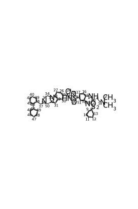 CN(C)CC[C@H](CSc1ccccc1)Nc1ccc(S(=O)(=O)NC(=O)c2ccc3c(c2)cc2n3CCN(Cc3ccccc3-c3ccccc3)C2)cc1[N+](=O)[O-]